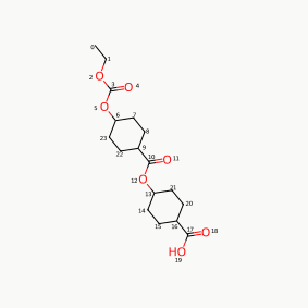 CCOC(=O)OC1CCC(C(=O)OC2CCC(C(=O)O)CC2)CC1